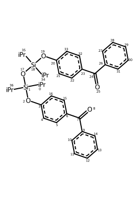 CC(C)[Si](Oc1ccc(C(=O)c2ccccc2)cc1)(O[Si](Oc1ccc(C(=O)c2ccccc2)cc1)(C(C)C)C(C)C)C(C)C